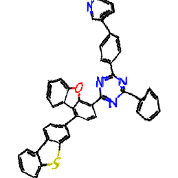 c1ccc(-c2nc(-c3ccc(-c4cccnc4)cc3)nc(-c3ccc(-c4ccc5c(c4)sc4ccccc45)c4c3oc3ccccc34)n2)cc1